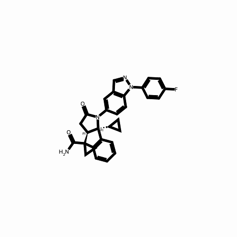 NC(=O)C1([C@H]2CC(=O)N(c3ccc4c(cnn4-c4ccc(F)cc4)c3)[C@]2(c2ccccc2)C2CC2)CC1